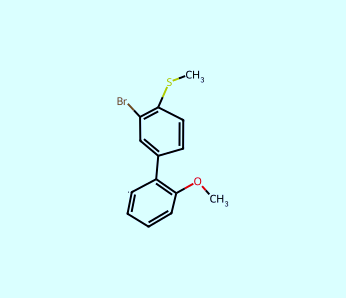 COc1ccc[c]c1-c1ccc(SC)c(Br)c1